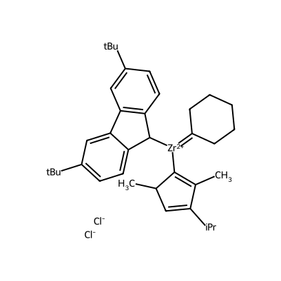 CC1=[C]([Zr+2](=[C]2CCCCC2)[CH]2c3ccc(C(C)(C)C)cc3-c3cc(C(C)(C)C)ccc32)C(C)C=C1C(C)C.[Cl-].[Cl-]